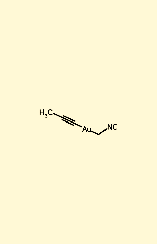 [C-]#[N+][CH2][Au][C]#CC